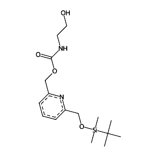 CC(C)(C)[Si](C)(C)OCc1cccc(COC(=O)NCCO)n1